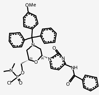 COc1ccc(C(c2ccccc2)(c2ccccc2)N2C[C@@H](COP(=O)(Cl)N(C)C)O[C@@H](n3ccc(NC(=O)c4ccccc4)nc3=O)C2)cc1